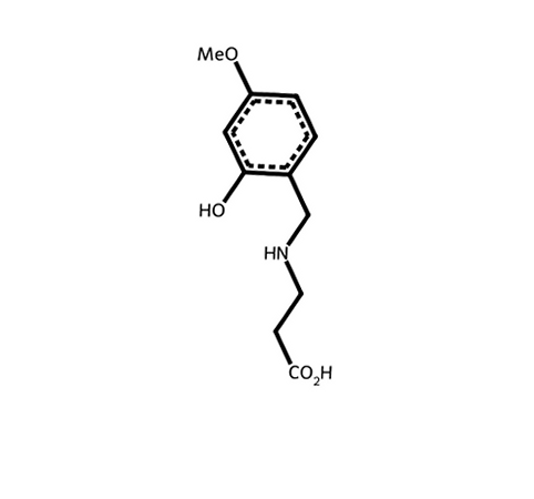 COc1ccc(CNCCC(=O)O)c(O)c1